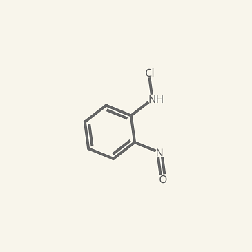 O=Nc1ccccc1NCl